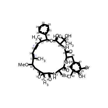 CCC(C)C1NC(=O)C2(C)OC2CC(OC)/C(C)=C/C=C/C(C)C(c2ccccc2)OC(=O)C(C(C)(C)O)NC(=O)C(Cc2cc(Cl)c(O)c(Br)c2)NC1=O